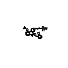 CC(C)NCCCCN1C=C(C2(OCc3ccccc3Cl)CC2)C(c2ccccc2OC2CC2)=CC1